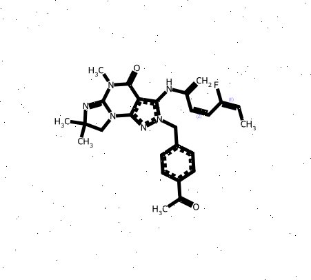 C=C(/C=C\C(F)=C/C)Nc1c2c(nn1Cc1ccc(C(C)=O)cc1)N1CC(C)(C)N=C1N(C)C2=O